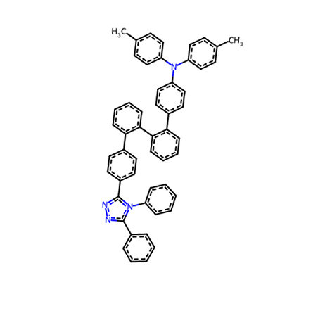 Cc1ccc(N(c2ccc(C)cc2)c2ccc(-c3ccccc3-c3ccccc3-c3ccc(-c4nnc(-c5ccccc5)n4-c4ccccc4)cc3)cc2)cc1